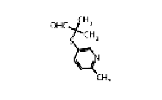 Cc1ccc(SC(C)(C)C=O)cn1